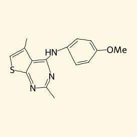 COc1ccc(Nc2nc(C)nc3scc(C)c23)cc1